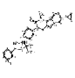 CSC(NC#N)(NCc1cccc(Cl)c1)Nc1cc(N(Cc2cn3cc(C4CC4)ccc3n2)C(=O)OC(C)(C)C)ccn1